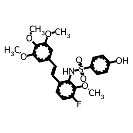 COc1cc(C=Cc2ccc(F)c(OC)c2NS(=O)(=O)c2ccc(O)cc2)cc(OC)c1OC